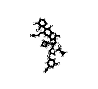 Cc1nc2c(F)c(-c3cccc(Cl)c3Cl)c(CCC#N)cc2c2c1cc(C1CC(Oc3cc(Cl)cc(C#N)c3)CN1C(=O)C1CC1)n2C1C2CNC1C2